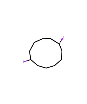 IC1CCCCC[C@H](I)CCCC1